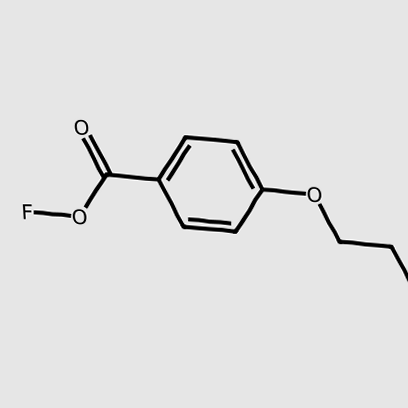 CCCOc1ccc(C(=O)OF)cc1